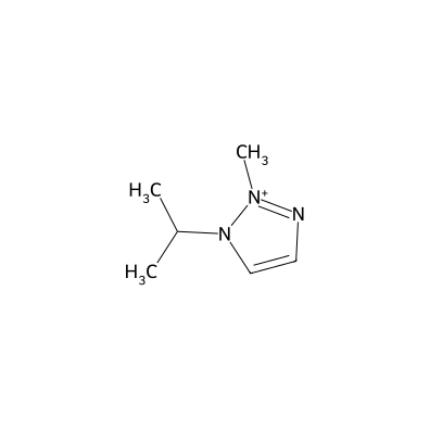 CC(C)n1ccn[n+]1C